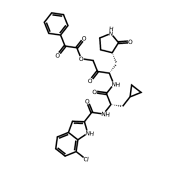 O=C(OCC(=O)[C@H](C[C@@H]1CCNC1=O)NC(=O)[C@H](CC1CC1)NC(=O)c1cc2cccc(Cl)c2[nH]1)C(=O)c1ccccc1